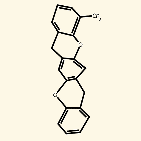 FC(F)(F)c1cccc2c1Oc1cc3c(cc1C2)Oc1ccccc1C3